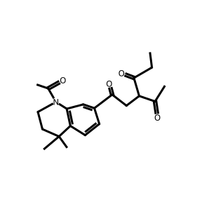 CCC(=O)C(CC(=O)c1ccc2c(c1)N(C(C)=O)CCC2(C)C)C(C)=O